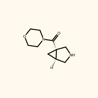 O=C(N1CCOCC1)[C@]12CNC[C@H]1C2